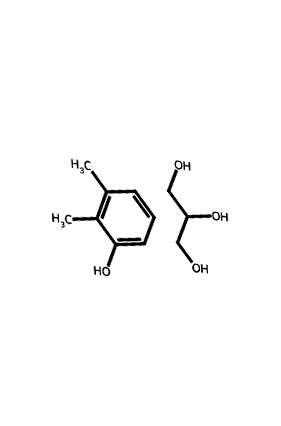 Cc1cccc(O)c1C.OCC(O)CO